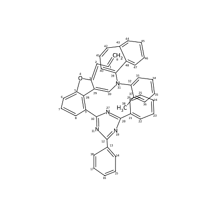 C=C/C=c1/oc2cccc(-c3nc(-c4ccccc4)nc(-c4ccccc4)n3)c2/c1=C/N(c1ccccc1C)c1cccc2ccccc12